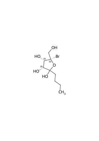 CCCCC1(O)O[C@](Br)(CO)[C@@H](O)[C@H]1O